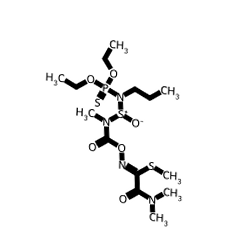 CCCN([S+]([O-])N(C)C(=O)ON=C(SC)C(=O)N(C)C)P(=S)(OCC)OCC